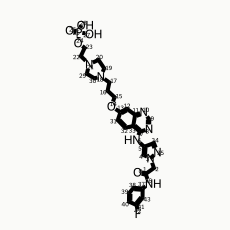 O=C(Cn1cc(Nc2ncnc3cc(OCCCN4CCN(CCOP(=O)(O)O)CC4)ccc23)cn1)Nc1cccc(F)c1